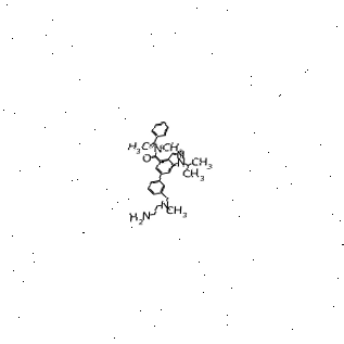 CC(C)n1ncc2c(C(=O)N(C)[C@@H](C)c3ccccc3)cc(-c3cccc(CN(C)CCN)c3)cc21